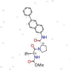 COC(=O)N[C@H](C(=O)N1CCC[C@H]1C(=O)Nc1ccc2cc(-c3ccccc3)ccc2c1)C(C)C